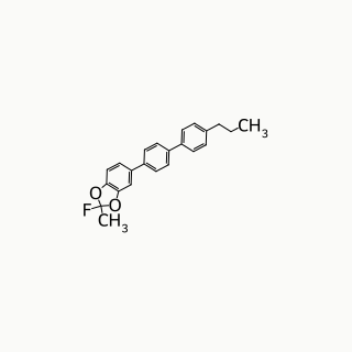 CCCc1ccc(-c2ccc(-c3ccc4c(c3)OC(C)(F)O4)cc2)cc1